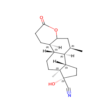 C[C@@H]1CC2OC(=O)CC[C@@H]2[C@H]2CC[C@@]3(C)[C@@H](CC[C@@]3(O)C#N)[C@@H]21